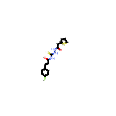 O=C(/C=C/c1ccc(F)cc1)NC(=S)NNC(=O)Cc1cccs1